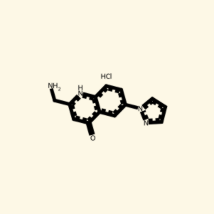 Cl.NCc1cc(=O)c2cc(-n3cccn3)ccc2[nH]1